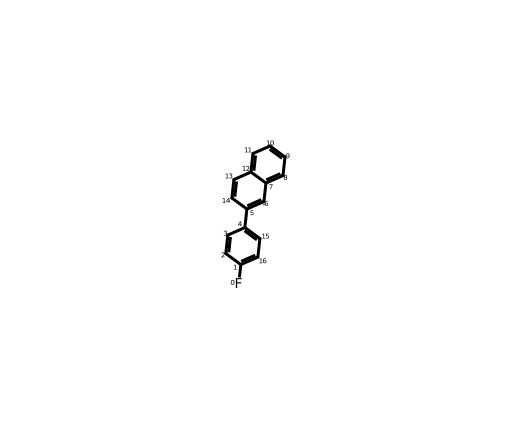 Fc1ccc(-c2[c]c3ccccc3cc2)cc1